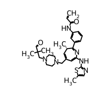 C=CC(=O)Nc1cccc(C2=NC(Nc3ncc(C)s3)=CC(CN3CCN(CC(C)(C)C=O)CC3)=C[C@@H]2C)c1